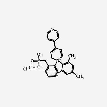 Cc1cc(C)c([N+]2(c3ccccc3CP(=O)(O)O)C=CC(c3ccncc3)=CC2)c(C)c1.Cl.[Cl-]